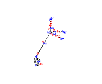 Cc1ccc(C)c(Cn2c(C(O)c3ccncc3)nc3ccc(-c4cnn(CCOCCCCCCCCCCCCNC(=O)CCCCCCCCCCC(=O)NC(CCC(=O)NCCOCCOCCN=[N+]=[N-])(CCC(=O)NCCOCCOCCN=[N+]=[N-])CCC(=O)NCCOCCOCCN=[N+]=[N-])c4)cc32)c1